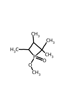 COP1(=O)C(C)C(C)C1(C)C